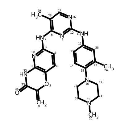 C=C1Oc2ccc(Nc3nc(Nc4ccc(N5CCN(C)CC5)c(C)c4)ncc3C)nc2NC1=O